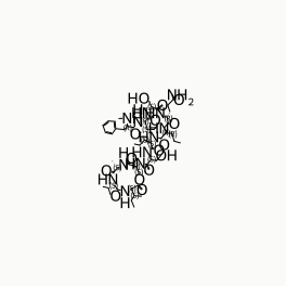 CC[C@@H](C)[C@@H](NC(=O)[C@@H](CCC(N)=O)NC(=O)[C@H](CO)NC(=O)[C@@H](NC(=O)[C@@H](Cc1ccccc1)NC)[C@@H](C)CC)C(=O)N[C@H](C(=O)N[C@@H](CO)C(=O)N[C@H]1C(=O)N[C@@H](C)C(=O)N[C@@H](C(C)C)C(=O)N[C@@H]([C@@H](C)CC)C(=O)O[C@H]1C)[C@@H](C)CC